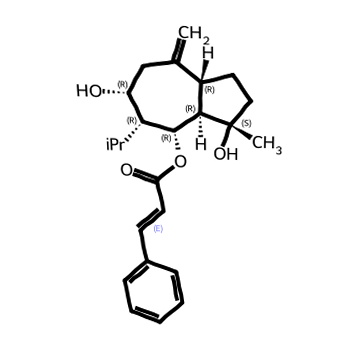 C=C1C[C@@H](O)[C@@H](C(C)C)[C@@H](OC(=O)/C=C/c2ccccc2)[C@H]2[C@H]1CC[C@]2(C)O